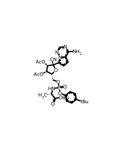 CC(=O)O[C@H]1[C@@H](OC(C)=O)[C@](C#N)(c2ccc3c(N)ncnn23)O[C@@H]1COP(=O)(N[C@@H](C)C(=O)OCC(C)C)Oc1ccc(C(C)(C)C)cc1